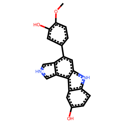 COc1ccc(-c2cc3[nH]c4ccc(O)cc4c3c3c[nH]cc23)cc1O